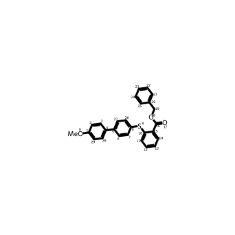 COc1ccc(-c2ccc(Sc3ccccc3C(=O)OCc3ccccc3)cc2)cc1